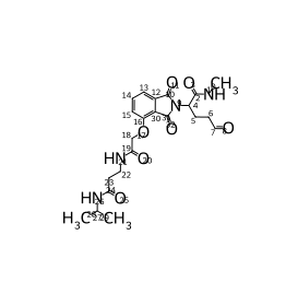 CNC(=O)C(CCC=O)N1C(=O)c2cccc(OCC(=O)NCCC(=O)NC(C)C)c2C1=O